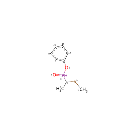 CSC(C)[PH](=O)Oc1ccccc1